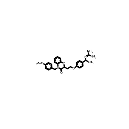 COc1ccc(CN2C(=O)C(CCOc3ccc(C(C)N=C(N)N)cc3)Oc3ccccc32)cc1